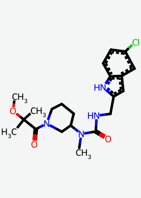 COC(C)(C)C(=O)N1CCCC(N(C)C(=O)NCc2cc3cc(Cl)ccc3[nH]2)C1